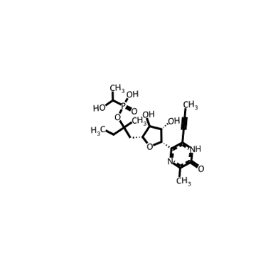 CC#Cc1[nH]c(=O)c(C)nc1[C@@H]1O[C@H](CC(C)(CC)OP(=O)(O)C(C)O)C(O)[C@@H]1O